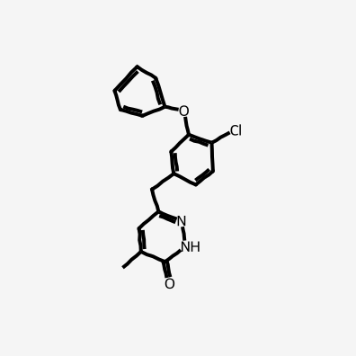 Cc1cc(Cc2ccc(Cl)c(Oc3ccccc3)c2)n[nH]c1=O